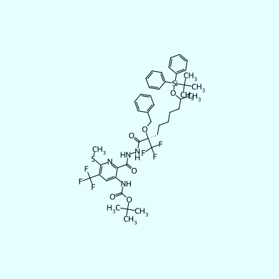 CSc1nc(C(=O)NNC(=O)[C@@](CCCCCC(C)O[Si](c2ccccc2)(c2ccccc2)C(C)(C)C)(OCc2ccccc2)C(F)(F)F)c(NC(=O)OC(C)(C)C)cc1C(F)(F)F